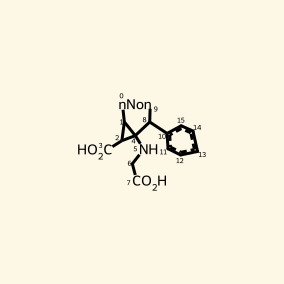 CCCCCCCCCC1C(C(=O)O)C1(NCC(=O)O)C(C)c1ccccc1